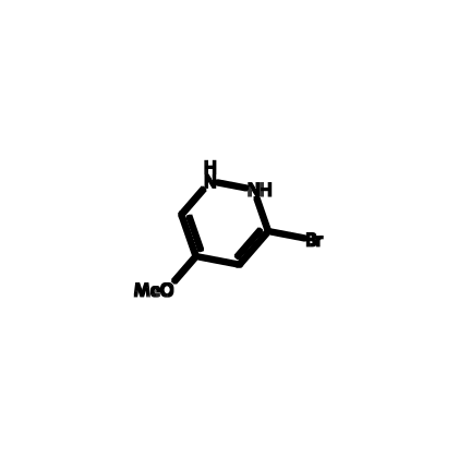 COC1=CNNC(Br)=C1